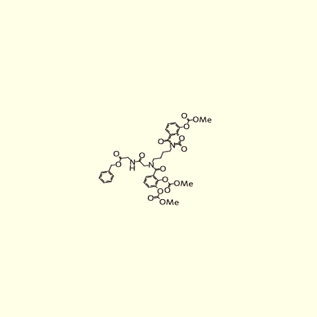 COC(=O)Oc1cccc(C(=O)N(CCCCn2c(=O)oc3c(OC(=O)OC)cccc3c2=O)CC(=O)NCC(=O)OCc2ccccc2)c1OC(=O)OC